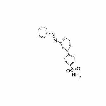 NS(=O)(=O)c1ccc(-c2[c]ccc(N=Nc3ccccc3)c2)cc1